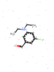 CCNCC.O=Cc1cccc(F)c1